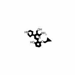 Nc1nc(-c2c(O)cccc2OCC2CC2)cc(C2CCNCC2)c1CO